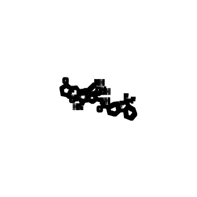 N=C1NC2[C@H](CN3C(=O)CCC3=O)NC(=N)N3CC(NC(=O)c4ccc(-c5ccccc5C(F)(F)F)cc4)[C@@H](O)C23N1CO